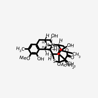 COc1c(C)cc2c(c1O)[C@@H]1[C@@H]3[C@@H]4SC[C@H](N)C(=O)OC[C@@H](c5c(O)c(C)c(C)c(OC(C)=O)c54)N3[C@@H](O)[C@@H](C2)N1C